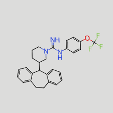 N=C(Nc1ccc(OC(F)(F)F)cc1)N1CCCC(C2c3ccccc3CCc3ccccc32)C1